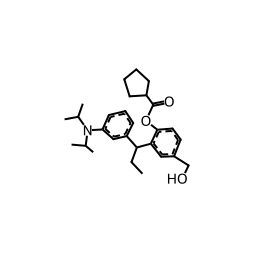 CCC(c1cccc(N(C(C)C)C(C)C)c1)c1cc(CO)ccc1OC(=O)C1CCCC1